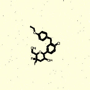 CCOc1ccc(Cc2cc(C3OC(CO)C(F)(F)CC3O)ccc2Cl)cc1